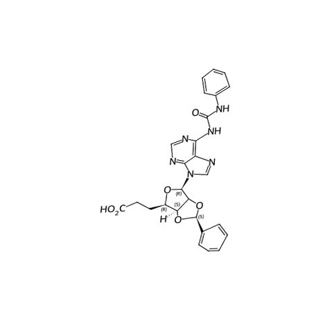 O=C(O)CC[C@H]1O[C@@H](n2cnc3c(NC(=O)Nc4ccccc4)ncnc32)C2O[C@@H](c3ccccc3)O[C@H]21